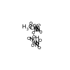 CC1(C)c2ccccc2-c2cc3c4ccccc4n(-c4nc(-c5ccccc5)cc(-c5cccc(-c6ccc7c8cc9c(cc8n(-c8ccccc8)c7c6)c6ccccc6n9C6N=C(c7ccccc7)C=C(c7ccccc7)N6)c5)n4)c3cc21